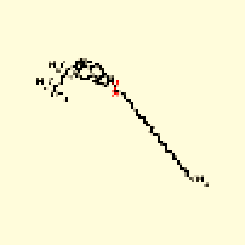 CCC=CCC=CCC=CCC=CCC=CCC=CCCC(=O)O[C@H]1CC[C@@]2(C)C(=CC[C@H]3[C@@H]4CC[C@H]([C@H](C)CCCC(C)C)[C@@]4(C)CC[C@@H]32)C1